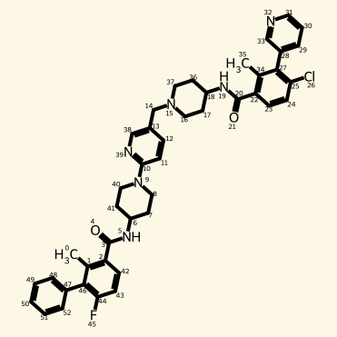 Cc1c(C(=O)NC2CCN(c3ccc(CN4CCC(NC(=O)c5ccc(Cl)c(-c6cccnc6)c5C)CC4)cn3)CC2)ccc(F)c1-c1ccccc1